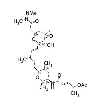 CNN(C)C(=O)C[C@@H]1C[C@@]2(CO2)[C@H](O)[C@@H](C=CC(C)=CC[C@@H]2O[C@H](C)[C@H](NC(=O)C=CC(C)OC(C)=O)C[C@@H]2C)O1